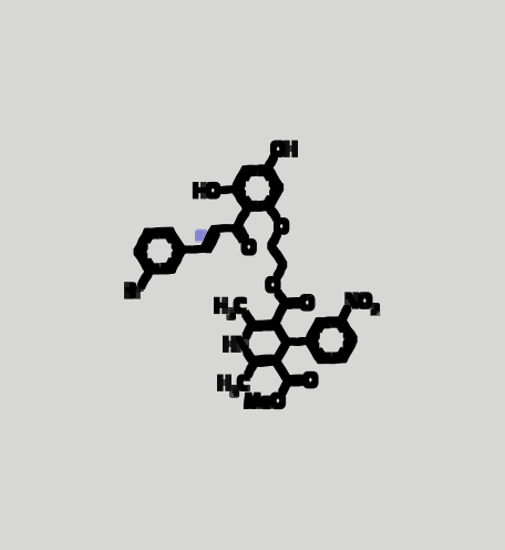 COC(=O)C1=C(C)NC(C)=C(C(=O)OCCOc2cc(O)cc(O)c2C(=O)/C=C/c2cccc(Br)c2)C1c1cccc([N+](=O)[O-])c1